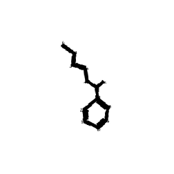 CCC=CCC(C)c1ccccc1